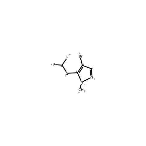 Cn1n[c]c(Br)c1SC(F)F